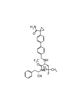 CC(C)(F)C[C@H](N[C@@H](c1ccc(-c2ccc(C3(C(N)=O)CC3)cc2)cc1)C(F)(F)F)C(=O)N[C@H](C#N)Cc1ccccc1